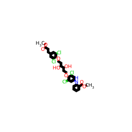 COC(=O)CCc1cc(Cl)c(OCC[C@H](O)[C@@H](O)CCOc2c(Cl)cc(Nc3ccccc3C(=O)OC)cc2Cl)c(Cl)c1